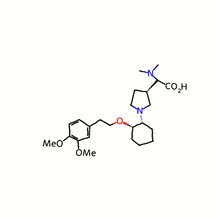 COc1ccc(CCO[C@@H]2CCCC[C@H]2N2CC[C@@H](C(C(=O)O)N(C)C)C2)cc1OC